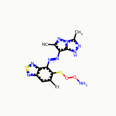 CCc1cc2nsnc2c(/N=N/c2c(C#N)nn3c(C)n[nH]c23)c1SOON